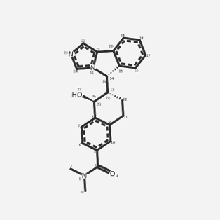 CN(C)C(=O)c1ccc2c(c1)CC[C@@H]([C@H]1c3ccccc3-c3cncn31)[C@@H]2O